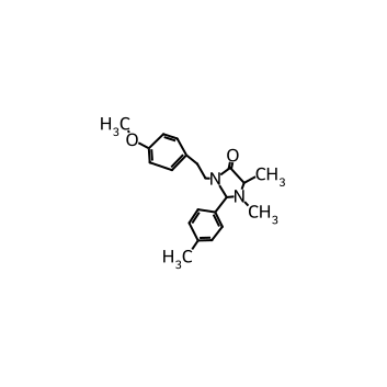 COc1ccc(CCN2C(=O)C(C)N(C)C2c2ccc(C)cc2)cc1